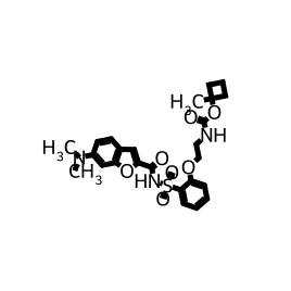 CN(C)c1ccc2cc(C(=O)NS(=O)(=O)c3ccccc3OCCNC(=O)OC3(C)CCC3)oc2c1